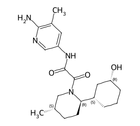 Cc1cc(NC(=O)C(=O)N2C[C@@H](C)CC[C@@H]2[C@H]2CCC[C@@H](O)C2)cnc1N